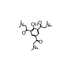 CN(C)CC(=O)c1cc(C(=O)CN(C)C)c(O)c(C(=O)CN(C)C)c1